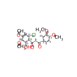 COc1ccc(C(=O)CC(=O)c2c(Cl)cc(OC)c(OC)c2O)cc1OC